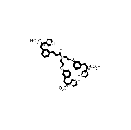 O=C(O)[C@@H](Cc1cccc(CCC(=O)N(CCOc2cccc(C[C@H](C(=O)O)[C@H]3CCNC3)c2)CCOc2cccc(C[C@H](C(=O)O)[C@H]3CCNC3)c2)c1)[C@H]1CCNC1